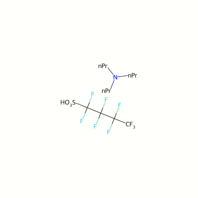 CCCN(CCC)CCC.O=S(=O)(O)C(F)(F)C(F)(F)C(F)(F)C(F)(F)F